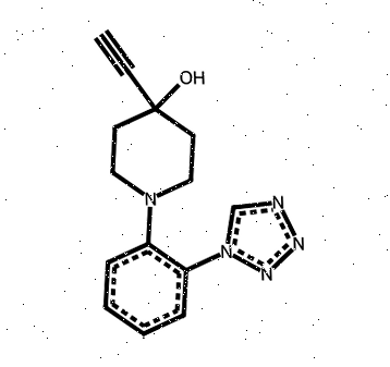 C#CC1(O)CCN(c2cc[c]cc2-n2cnnn2)CC1